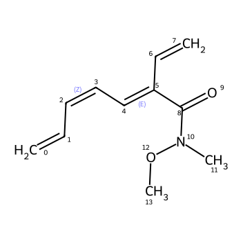 C=C/C=C\C=C(/C=C)C(=O)N(C)OC